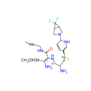 CC#CCNC(=O)/C(N[C@@H](C)C(N)C1S[C@@H]1C1=CNC(N2CC3C(C2)C3(F)F)C=C1)=C(/N)N(C)O